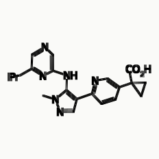 CC(C)c1cncc(Nc2c(-c3ccc(C4(C(=O)O)CC4)cn3)cnn2C)n1